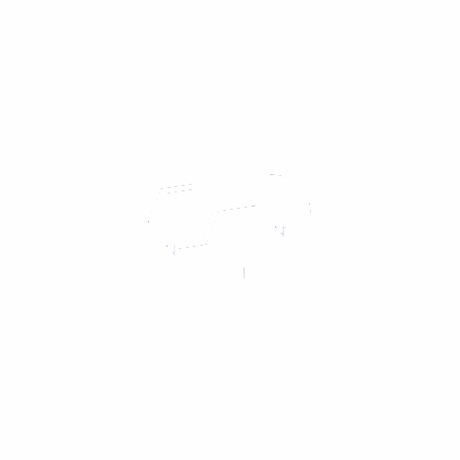 Cc1ncc[c]c1-c1cscn1